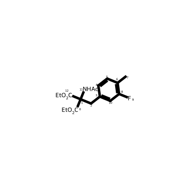 CCOC(=O)C(Cc1ccc(C)c(F)c1)(NC(C)=O)C(=O)OCC